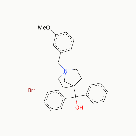 COc1cccc(C[N+]23CCC(C(O)(c4ccccc4)c4ccccc4)(CC2)C3)c1.[Br-]